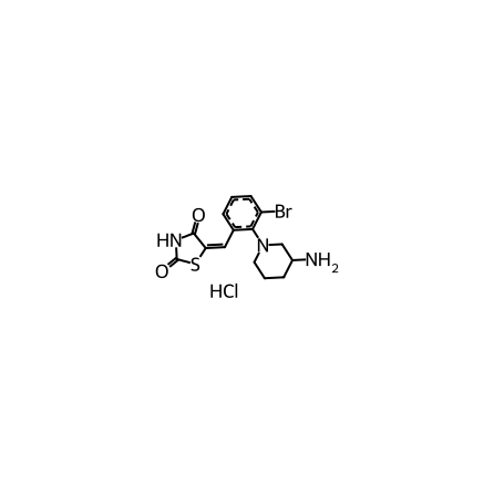 Cl.NC1CCCN(c2c(Br)cccc2C=C2SC(=O)NC2=O)C1